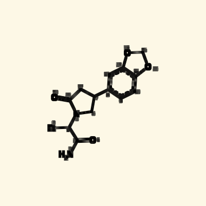 CCC(C(N)=O)N1CC(c2ccc3c(c2)OCO3)CC1=O